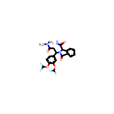 CN(C)C(=O)CC(c1ccc(OC(F)F)c(OC(F)F)c1)N1C(=O)c2[c]cccc2C1C(N)=O